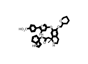 C[C@]1(CC(=O)Nc2cccc3[nH]ccc23)NCCc2cc(OCC3CCCCO3)c(Oc3ccc(-c4ccc(C(=O)O)cc4)c(F)c3)cc21